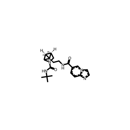 CC(C)(C)NC(=O)N1C[C@@H]2[C@@H]3C1[C@@]23CCNC(=O)c1ccc2nccn2c1